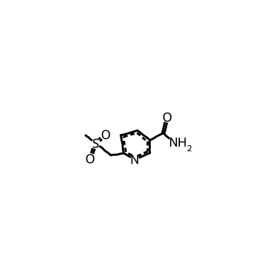 CS(=O)(=O)Cc1ccc(C(N)=O)cn1